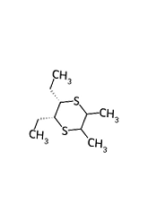 CC[C@@H]1SC(C)C(C)S[C@@H]1CC